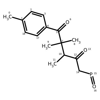 Cc1ccc(C(=O)C(C)(C)C(C)C(=O)CP=O)cc1